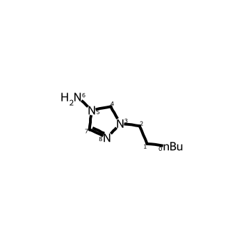 CCCCCCN1CN(N)C=N1